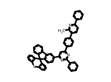 Cc1nc(-c2ccccc2)ccc1-c1ccc(-c2cc(-c3ccc4c(c3)-c3ccccc3C43c4ccccc4Sc4ccccc43)nc(-c3ccccc3)n2)cc1